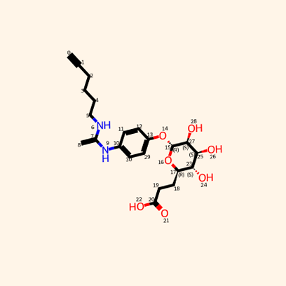 C#CCCCCNC(=C)Nc1ccc(O[C@H]2O[C@H](CCC(=O)O)[C@@H](O)[C@H](O)[C@@H]2O)cc1